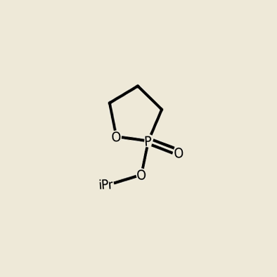 CC(C)OP1(=O)CCCO1